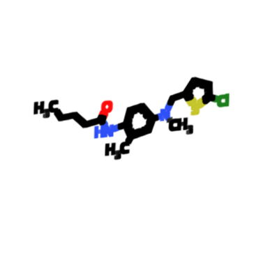 CCCCC(=O)Nc1ccc(N(C)Cc2ccc(Cl)s2)cc1C